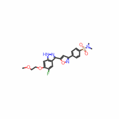 COCCOc1cc2[nH]nc(-c3cc(-c4ccc(S(=O)(=O)N(C)C)cc4)no3)c2cc1F